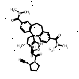 C[C@H](CC1(c2nc(=O)o[nH]2)c2ccc(C(=O)N(C)C)cc2CCc2cc(C(=O)N(C)C)ccc21)NCC(=O)N1CCC[C@H]1C#N